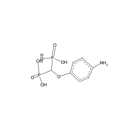 Nc1ccc(OC(P(=O)(O)O)P(=O)(O)O)cc1